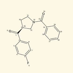 O=C(c1ccc(F)cc1)[C@H]1CCN(C(=O)c2ccccc2)C1